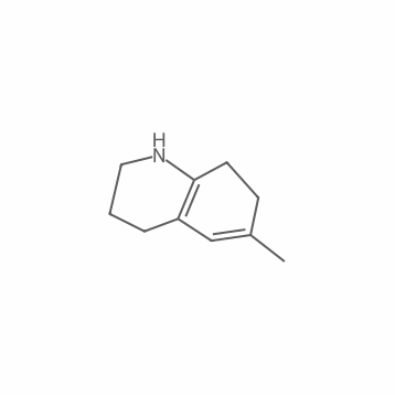 CC1=CC2=C(CC1)NCCC2